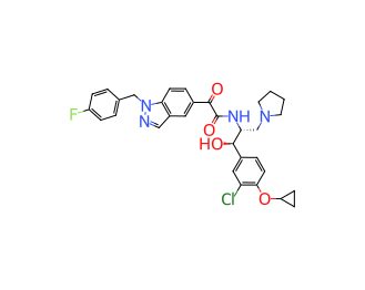 O=C(N[C@H](CN1CCCC1)[C@H](O)c1ccc(OC2CC2)c(Cl)c1)C(=O)c1ccc2c(cnn2Cc2ccc(F)cc2)c1